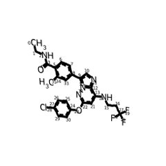 CCNC(=O)c1ccc(-c2cnc3c(NCCC(F)(F)F)cc(Oc4ccc(Cl)cc4)nn23)cc1C